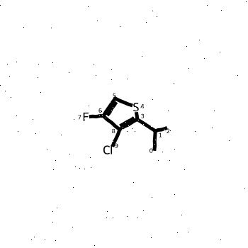 CC(C)c1scc(F)c1Cl